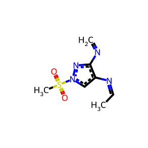 C=Nc1nn(S(C)(=O)=O)cc1/N=C\C